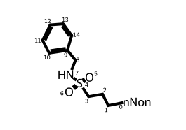 CCCCCCCCCCCCS(=O)(=O)NCc1ccccc1